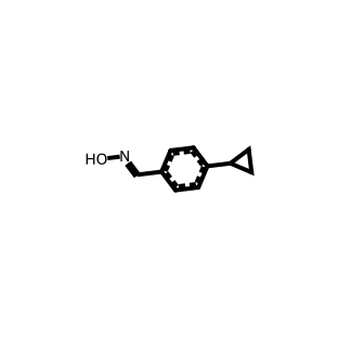 ON=Cc1ccc(C2CC2)cc1